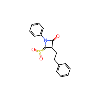 O=C1C(CCc2ccccc2)C(=S(=O)=O)N1c1ccccc1